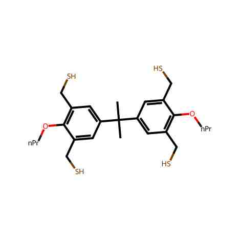 CCCOc1c(CS)cc(C(C)(C)c2cc(CS)c(OCCC)c(CS)c2)cc1CS